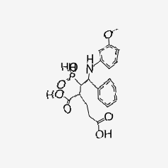 COc1cccc(NC(c2ccccc2)C(C(CCC(=O)O)C(=O)O)[PH](=O)O)c1